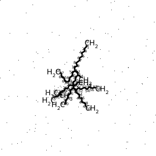 C=CCCCCCCCCCC(=CC(CC)CCCC(CCC)(CCCCCC(C)(C)CC=C)C(CCCCCC=C)=C(CCCCCCC=C)CCCCCCC=C)CCCCCCCCC=C